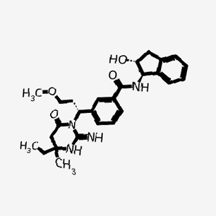 CCC1(C)CC(=O)N([C@H](CCOC)c2cccc(C(=O)N[C@@H]3c4ccccc4C[C@H]3O)c2)C(=N)N1